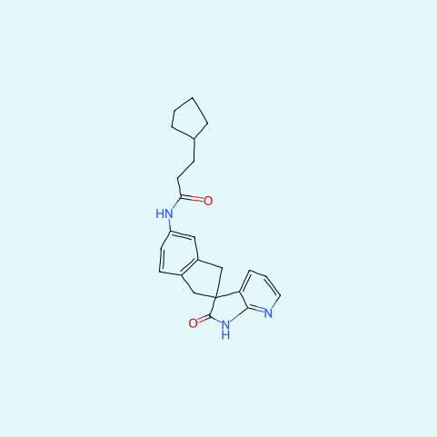 O=C(CCC1CCCC1)Nc1ccc2c(c1)CC1(C2)C(=O)Nc2ncccc21